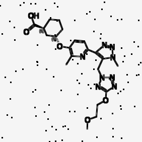 COCCOc1nnn(Cc2c(-c3ccc(O[C@H]4CCC[C@H](C(=O)O)C4)c(C)n3)nnn2C)n1